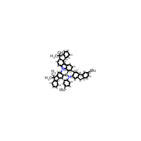 CC(C)(C)c1ccc(N2B3c4cc5c(cc4-n4c6ccc7c(c6c6ccc(c3c64)-c3cc4c(cc32)Cc2ccc(C(C)(C)C)cc2-4)-c2ccccc2C7(C)C)C(C)(C)c2ccccc2-5)cc1